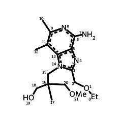 CCOCc1nc2c(N)nc(C)c(C)c2n1CC(C)(CO)COC